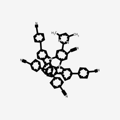 Cc1cc(C)nc(-c2cc(-n3c4cc(-c5ccc(C#N)cc5)ccc4c4ccc(-c5ccc(C#N)cc5)cc43)c(-n3c4cc(-c5ccc(C#N)cc5)ccc4c4ccc(-c5ccc(C#N)cc5)cc43)cc2C#N)n1